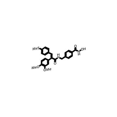 COc1ccc(/C(=C\c2ccc(SC)cc2)C(=O)NCc2ccc(C(=O)NO)cc2)cc1OC